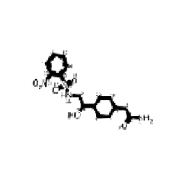 NC(=O)CC1CCC(C(O)CNS(=O)(=O)c2ccccc2[N+](=O)[O-])CC1